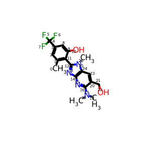 Cc1cc(C(F)(F)F)cc(O)c1-c1nc2nc(N(C)C)c(CO)cc2n1C